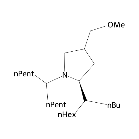 CCCCCCC(CCCC)[C@@H]1CC(COC)CN1C(CCCCC)CCCCC